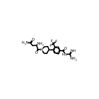 N=C(N)NC(=O)c1ccc(C2CCN(C(=O)C(N)CC(N)=O)CC2)c(C(F)(F)F)c1